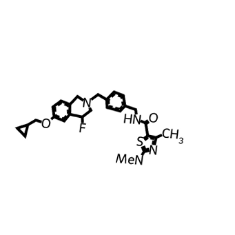 CNc1nc(C)c(C(=O)NCc2ccc(CN3Cc4ccc(OCC5CC5)cc4C(F)C3)cc2)s1